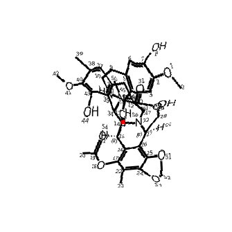 COc1cc2c(cc1O)CCN[C@@]21CS[C@@H]2c3c(OC(C)=O)c(C)c4c(c3[C@H](COC1=O)N1[C@@H]2C2c3c(cc(C)c(OC)c3O)CC([C@@H]1O)N2C)OCO4